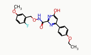 CCOc1ccc(-c2cc(O)nc(C(=O)NOCc3cc(OC)ccc3F)n2)cc1